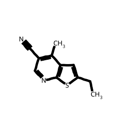 CCc1cc2c(C)c(C#N)cnc2s1